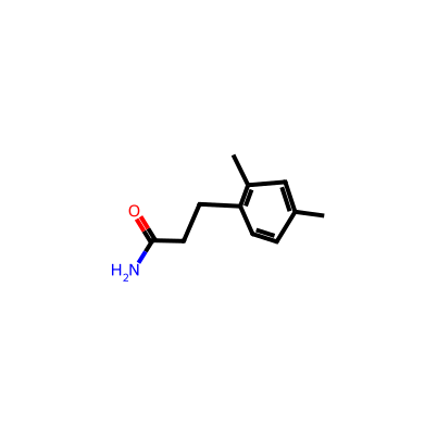 Cc1ccc(CCC(N)=O)c(C)c1